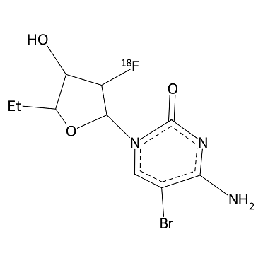 CCC1OC(n2cc(Br)c(N)nc2=O)C([18F])C1O